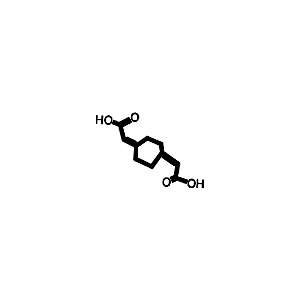 O=C(O)C=C1CCC(=CC(=O)O)CC1